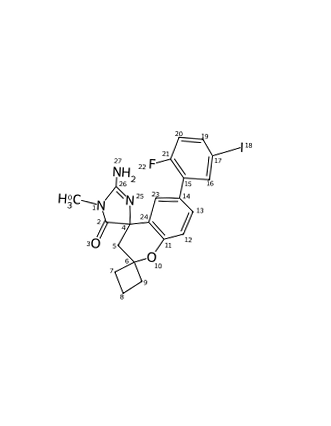 CN1C(=O)C2(CC3(CCC3)Oc3ccc(-c4cc(I)ccc4F)cc32)N=C1N